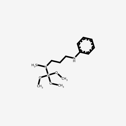 CO[Si](OC)(OC)N([SiH3])CCCNc1ccccc1